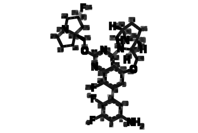 Nc1cc(F)c(F)c(-c2cc3c4c(nc(OC[C@@]56CCCN5C[C@H](F)C6)nc4c2F)N2C[C@@H]4CC[C@@H](N4)[C@H]2CO3)c1